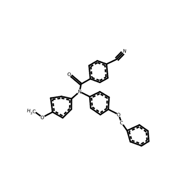 COc1ccc(N(C(=O)c2ccc(C#N)cc2)c2ccc(OCc3ccccc3)cc2)cc1